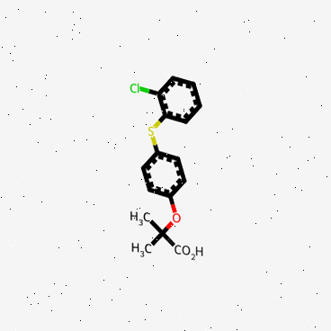 CC(C)(Oc1ccc(Sc2ccccc2Cl)cc1)C(=O)O